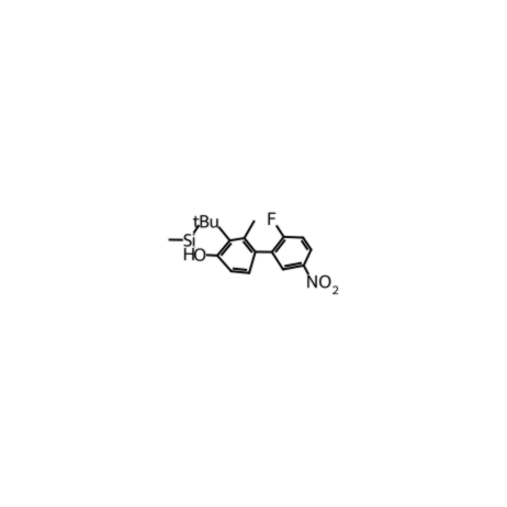 Cc1c(-c2cc([N+](=O)[O-])ccc2F)ccc(O[SiH](C)C)c1C(C)(C)C